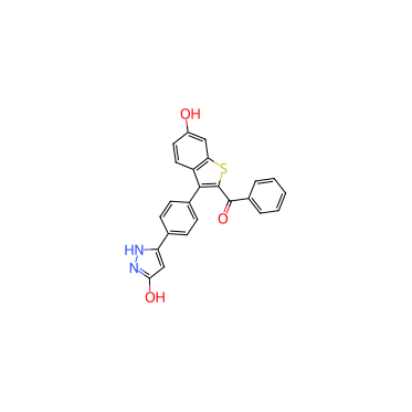 O=C(c1ccccc1)c1sc2cc(O)ccc2c1-c1ccc(-c2cc(O)n[nH]2)cc1